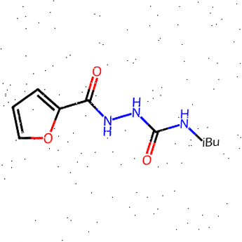 CCC(C)NC(=O)NNC(=O)c1ccco1